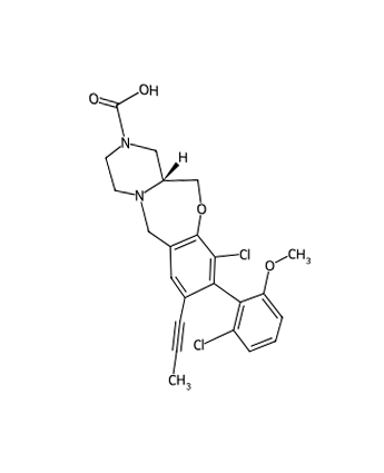 CC#Cc1cc2c(c(Cl)c1-c1c(Cl)cccc1OC)OC[C@H]1CN(C(=O)O)CCN1C2